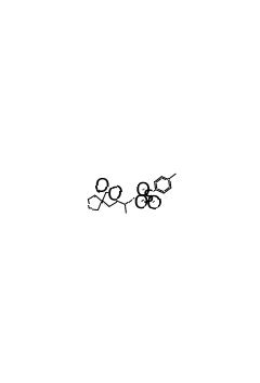 Cc1ccc(S(=O)(=O)OCC(C)C2CC3(CCCC3)C(=O)O2)cc1